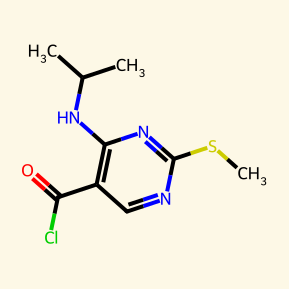 CSc1ncc(C(=O)Cl)c(NC(C)C)n1